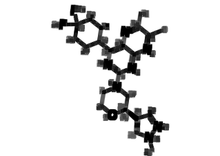 Cc1nc2nc(N3CCO[C@H](c4cnn(C)c4)C3)nc(C3CCC(F)(F)CC3)c2nc1C